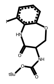 CC(C)(C)OC(=O)NC1COc2cccc(I)c2NC1=O